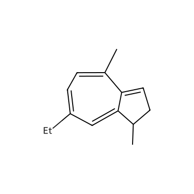 CCC1=CC=C(C)C2=CCC(C)C2=C1